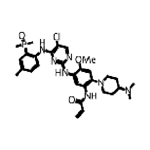 C=CC(=O)Nc1cc(Nc2ncc(Cl)c(Nc3ccc(C)cc3P(C)(C)=O)n2)c(OC)cc1N1CCC(N(C)C)CC1